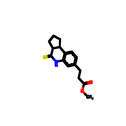 COC(=O)CCc1ccc2c(c1)NC(=S)C1CCCC21